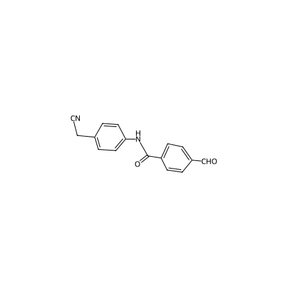 N#CCc1ccc(NC(=O)c2ccc(C=O)cc2)cc1